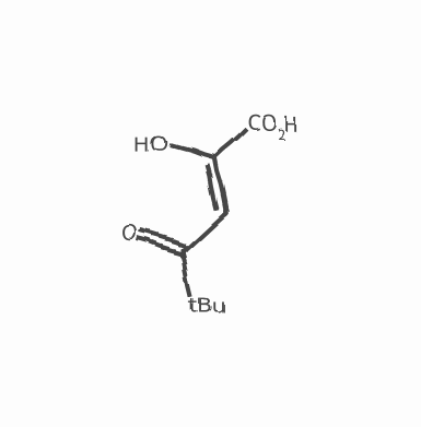 CC(C)(C)C(=O)C=C(O)C(=O)O